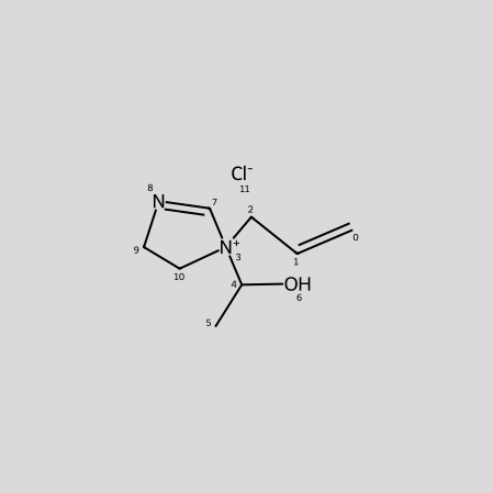 C=CC[N+]1(C(C)O)C=NCC1.[Cl-]